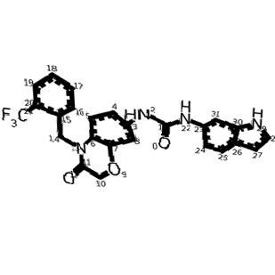 O=C(Nc1ccc2c(c1)OCC(=O)N2Cc1ccccc1C(F)(F)F)Nc1ccc2cc[nH]c2c1